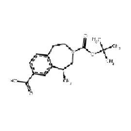 C[C@@H]1CN(C(=O)OC(C)(C)C)CCc2ccc(C(=O)O)cc21